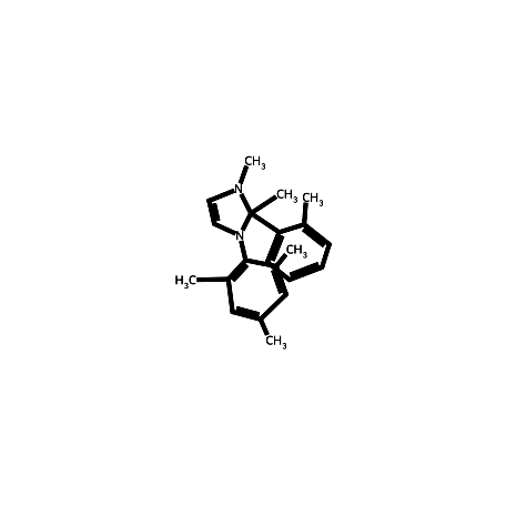 Cc1cc(C)c(N2C=CN(C)C2(C)c2ccccc2C)c(C)c1